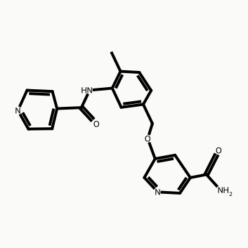 Cc1ccc(COc2cncc(C(N)=O)c2)cc1NC(=O)c1ccncc1